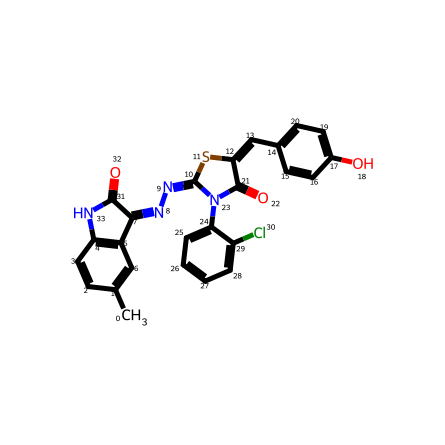 Cc1ccc2c(c1)C(=NN=C1SC(=Cc3ccc(O)cc3)C(=O)N1c1ccccc1Cl)C(=O)N2